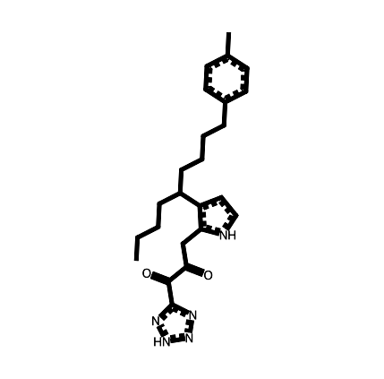 CCCCC(CCCCc1ccc(C)cc1)c1cc[nH]c1CC(=O)C(=O)c1nn[nH]n1